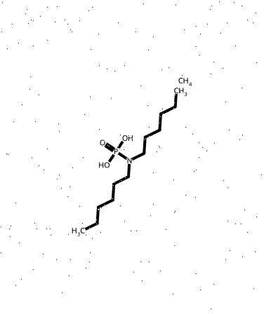 C.CCCCCCN(CCCCCC)P(=O)(O)O